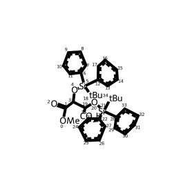 COC(=O)C(O[Si](c1ccccc1)(c1ccccc1)C(C)(C)C)C(O[Si](c1ccccc1)(c1ccccc1)C(C)(C)C)C(=O)O